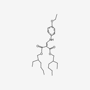 CCCCC(CC)COC(=O)C(=CNc1ccc(OCC)cc1)C(=O)OCC(CC)CCCC